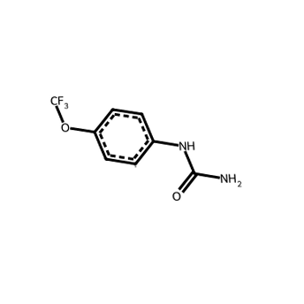 NC(=O)Nc1[c]cc(OC(F)(F)F)cc1